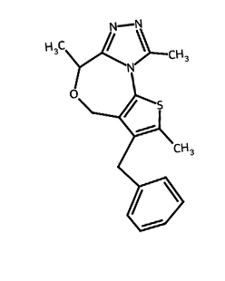 Cc1sc2c(c1Cc1ccccc1)COC(C)c1nnc(C)n1-2